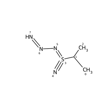 CC(C)S(#N)=NN=N